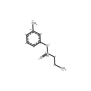 CCC[PH](=O)Oc1cccc(C)c1